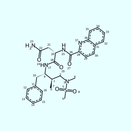 C[C@H](CN(C)S(C)(=O)=O)[C@H](Cc1ccccc1)NC(=O)[C@H](CC(N)=O)NC(=O)c1ccc2ccccc2n1